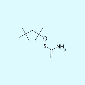 C=C(N)SOC(C)(C)CC(C)(C)C